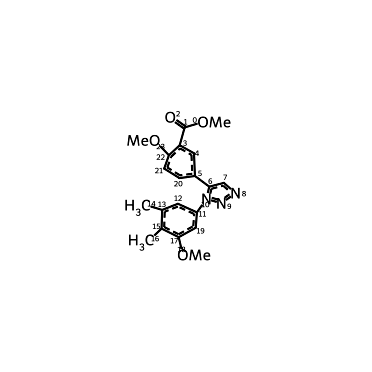 COC(=O)c1cc(-c2cnnn2-c2cc(C)c(C)c(OC)c2)ccc1OC